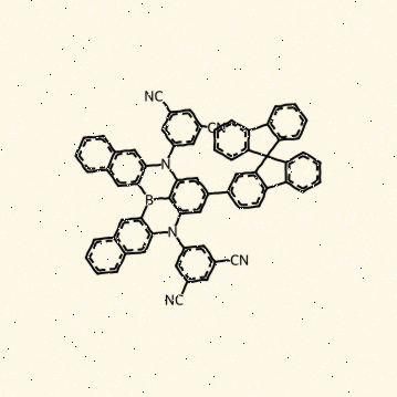 N#Cc1cc(C#N)cc(N2c3cc4ccccc4cc3B3c4cc5ccccc5cc4N(c4cc(C#N)cc(C#N)c4)c4cc(-c5ccc6c(c5)C5(c7ccccc7-c7ccccc75)c5ccccc5-6)cc2c43)c1